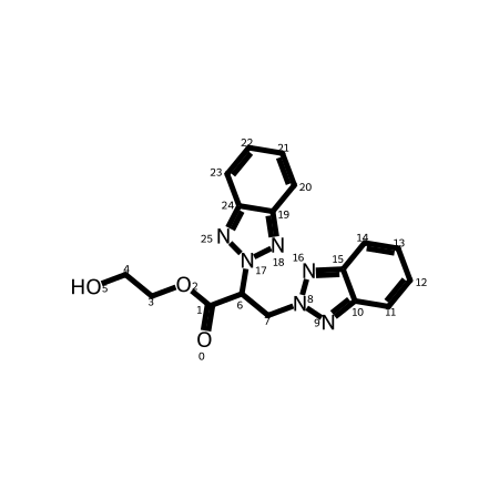 O=C(OCCO)C(Cn1nc2ccccc2n1)n1nc2ccccc2n1